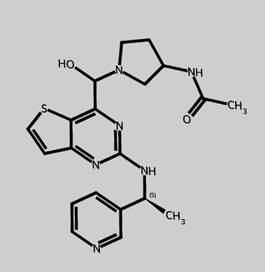 CC(=O)NC1CCN(C(O)c2nc(N[C@@H](C)c3cccnc3)nc3ccsc23)C1